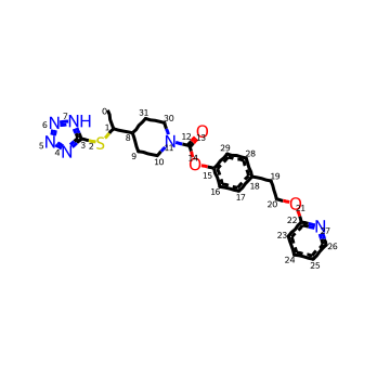 CC(Sc1nnn[nH]1)C1CCN(C(=O)Oc2ccc(CCOc3ccccn3)cc2)CC1